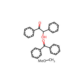 COC.O=C(c1ccccc1)C(O)c1ccccc1.O=C(c1ccccc1)c1ccccc1